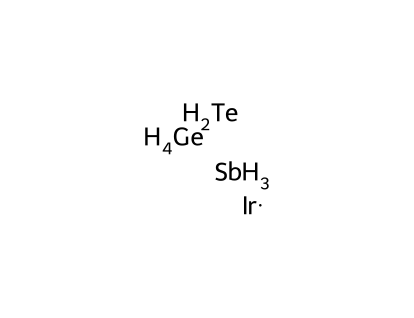 [GeH4].[Ir].[SbH3].[TeH2]